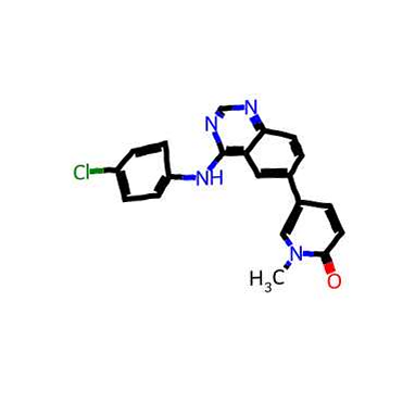 Cn1cc(-c2ccc3ncnc(Nc4ccc(Cl)cc4)c3c2)ccc1=O